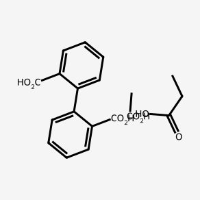 CC(=O)O.CCC(=O)O.O=C(O)c1ccccc1-c1ccccc1C(=O)O